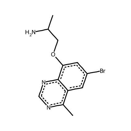 Cc1ncnc2c(OCC(C)N)cc(Br)cc12